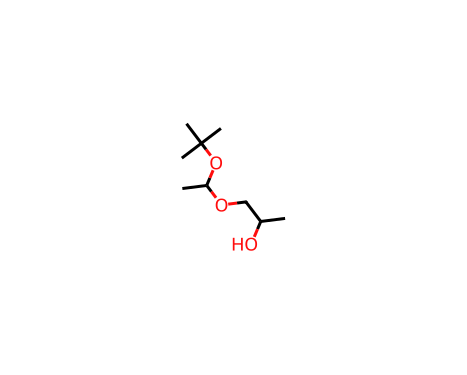 CC(O)COC(C)OC(C)(C)C